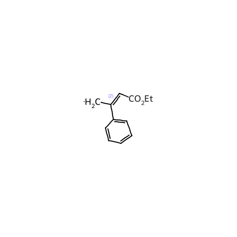 [CH2]/C(=C/C(=O)OCC)c1ccccc1